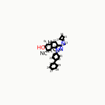 C[C@H]1C(O)C(C#N)=C[C@@]2(C)c3c(c(N(C)C4CCC4)nn3-c3ccc(-c4ccccc4)cc3)CC[C@H]12